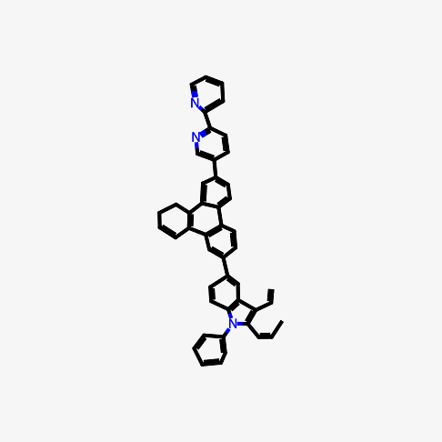 C=Cc1c(/C=C\C)n(-c2ccccc2)c2ccc(-c3ccc4c(c3)c3c(c5cc(-c6ccc(-c7ccccn7)nc6)ccc54)CCC=C3)cc12